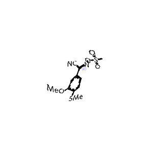 COc1cc(/C(C#N)=N/OS(C)(=O)=O)ccc1SC